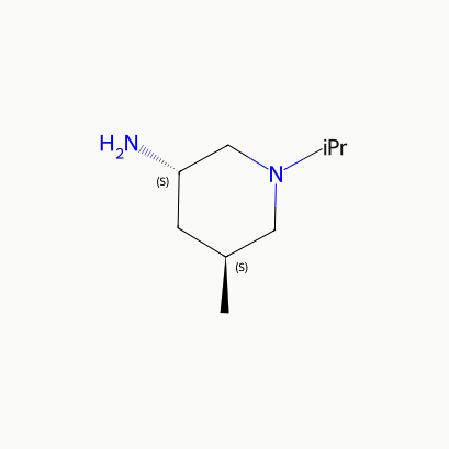 CC(C)N1C[C@@H](C)C[C@H](N)C1